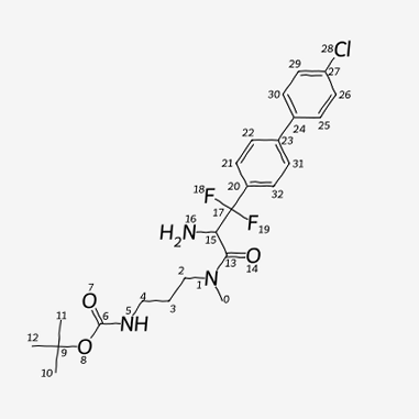 CN(CCCNC(=O)OC(C)(C)C)C(=O)C(N)C(F)(F)c1ccc(-c2ccc(Cl)cc2)cc1